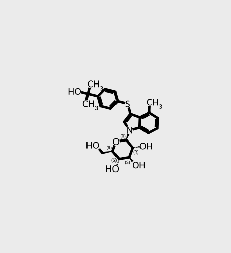 Cc1cccc2c1c(Sc1ccc(C(C)(C)O)cc1)cn2[C@@H]1O[C@H](CO)[C@@H](O)[C@H](O)[C@H]1O